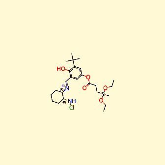 CCO[Si](C)(CCC(=O)Oc1cc(/C=N/[C@@H]2CCCC[C@H]2NCl)c(O)c(C(C)(C)C)c1)OCC